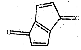 O=c1ccc2c(=O)ccc1=2